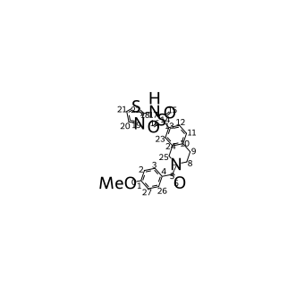 COc1ccc(C(=O)N2CCc3ccc(S(=O)(=O)Nc4nccs4)cc3C2)cc1